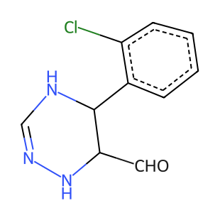 O=CC1NN=CNC1c1ccccc1Cl